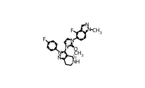 C[C@@H]1NCCc2nn(-c3ccc(F)cc3)c(-n3ccn(-c4ccc5c(cnn5C)c4F)c3=O)c21